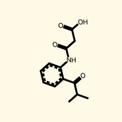 CC(C)C(=O)c1ccccc1NC(=O)CC(=O)O